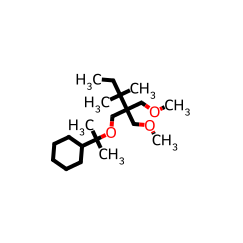 CCC(C)(C)C(COC)(COC)COC(C)(C)C1CCCCC1